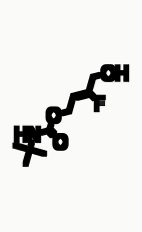 CC(C)(C)NC(=O)OCC=C(F)CO